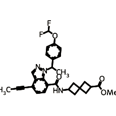 CC#Cc1ccc(C(=O)NC2CC3(C2)CC(C(=O)OC)C3)c2c1cnn2C(C)c1ccc(OC(F)F)cc1